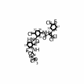 O=C(CS(=O)(=O)C(F)(F)F)Nc1c(F)ccc(NC(=O)c2cc(NC(=O)[C@H]3[C@H](c4ccc(F)c(Cl)c4)C3(Cl)Cl)ccc2Cl)c1F